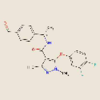 Cc1nn(C)c(Oc2ccc(F)c(F)c2)c1C(=O)N[C@@H](C)c1ccc(C=O)cc1